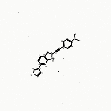 CN(C)c1ccc(C#CC2Cc3ccc(-c4ccsc4)nc3N2)cc1